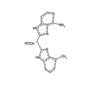 Cc1cccc2[nH]c(Cc3nc4c(N)cccc4[nH]3)nc12.Cl.Cl